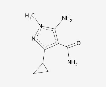 Cn1nc(C2CC2)c(C(N)=O)c1N